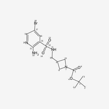 CC(C)(C)OC(=O)N1CC(CNS(=O)(=O)c2cc(Br)cnc2N)C1